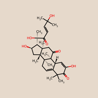 CC(C)(O)/C=C/C(=O)[C@](C)(O)[C@H]1[C@H](O)C[C@@]2(C)[C@]3(C)CC=C4[C@@H](C=C(O)C(=O)C4(C)C)[C@]3(C)C(=O)C[C@]12C